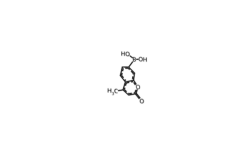 Cc1cc(=O)oc2cc(B(O)O)ccc12